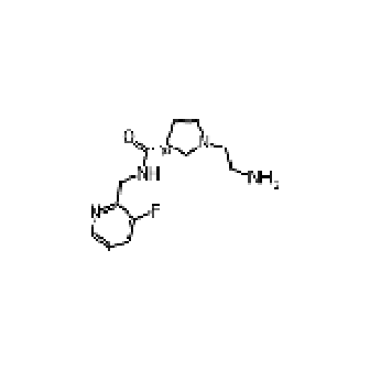 NCCN1CC[C@@H](C(=O)NCc2ncccc2F)C1